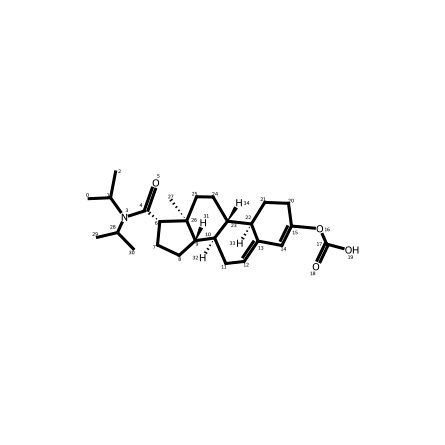 CC(C)N(C(=O)[C@H]1CC[C@H]2[C@@H]3CC=C4C=C(OC(=O)O)CC[C@@H]4[C@H]3CC[C@]12C)C(C)C